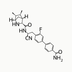 C[C@@H]1[C@H](C)[C@@H]2C[C@H]1[C@@H](C(=O)N[C@H](C#N)Cc1ccc(-c3ccc(C(N)=O)cc3)cc1F)N2